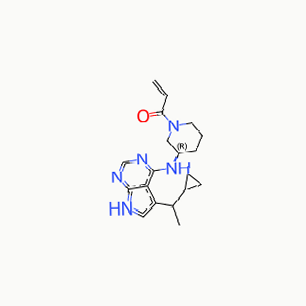 C=CC(=O)N1CCC[C@@H](Nc2ncnc3[nH]cc(C(C)C4CC4)c23)C1